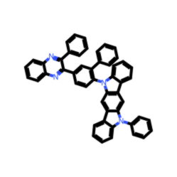 c1ccc(-c2cc(-c3nc4ccccc4nc3-c3ccccc3)ccc2-n2c3ccccc3c3cc4c(cc32)c2ccccc2n4-c2ccccc2)cc1